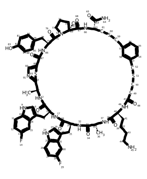 C[C@@H]1NC(=O)[C@H](Cc2c[nH]c3ccc(F)cc23)NC(=O)[C@H](Cc2c[nH]c3ccc(F)cc23)NC(=O)[C@@H](C)NC(=O)[C@H](CCCCN)NC(=O)CCSCc2cccc(c2)CSC[C@@H](C(N)=O)NC(=O)[C@]2(C)CCCN2C(=O)[C@H](Cc2ccc(O)cc2)NC(=O)c2cnc1s2